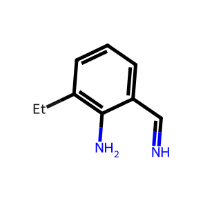 CCc1cccc(C=N)c1N